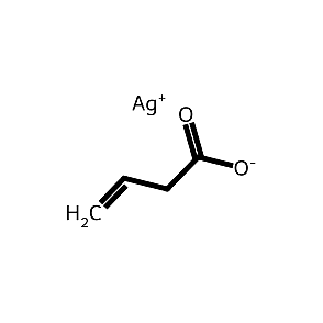 C=CCC(=O)[O-].[Ag+]